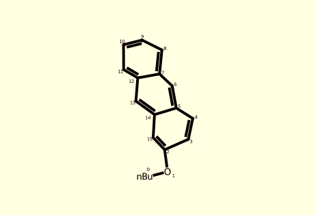 CCCCOc1ccc2cc3c[c]ccc3cc2c1